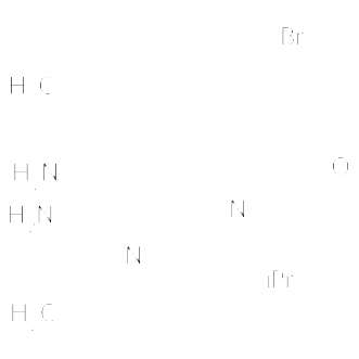 C=C(N)/N=C1\C(=C(\C)N)C=C(Br)C(=O)N1C(C)C